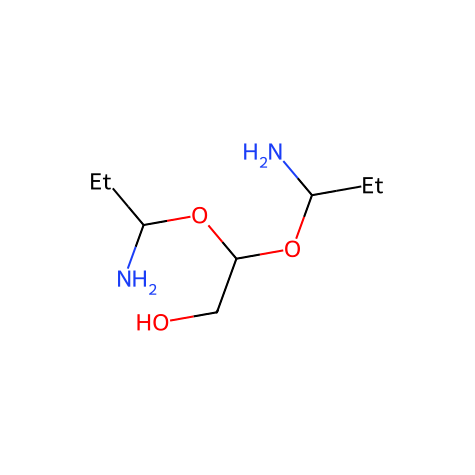 CCC(N)OC(CO)OC(N)CC